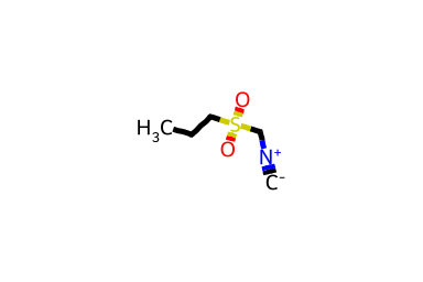 [C-]#[N+]CS(=O)(=O)CCC